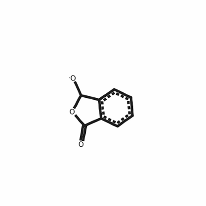 [O]C1OC(=O)c2ccccc21